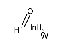 [InH3].[O]=[Hf].[W]